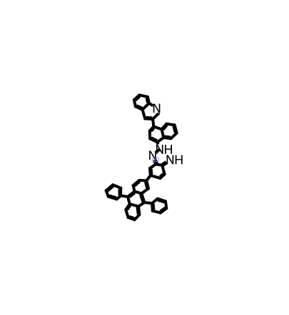 N=C1C=CC(c2ccc3c(-c4ccccc4)c4ccccc4c(-c4ccccc4)c3c2)=C/C1=N/Nc1ccc(-c2cnc3ccccc3c2)c2ccccc12